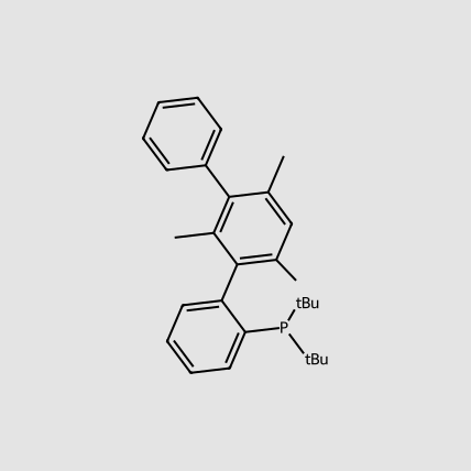 Cc1cc(C)c(-c2ccccc2P(C(C)(C)C)C(C)(C)C)c(C)c1-c1ccccc1